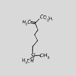 C=C(CCCC[SiH](C)C)C(=O)O